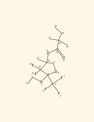 CCOC1(C(F)(F)F)OCC(C)(OC(=O)C(C)(C)CC)C1(F)F